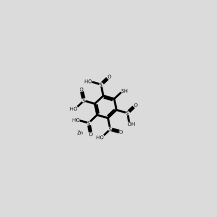 O=S(O)c1c(S)c(S(=O)O)c(S(=O)O)c(S(=O)O)c1S(=O)O.[Zn]